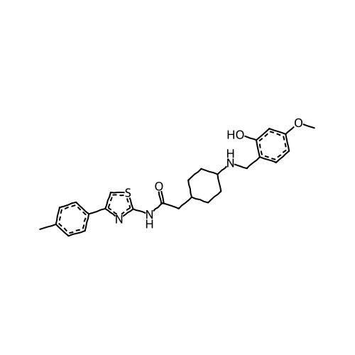 COc1ccc(CNC2CCC(CC(=O)Nc3nc(-c4ccc(C)cc4)cs3)CC2)c(O)c1